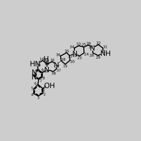 Oc1ccccc1-c1cc2c(nn1)NC[C@H]1CN([C@H]3CC[C@H](N4CCC(CN5CCNCC5)CC4)CC3)CCN21